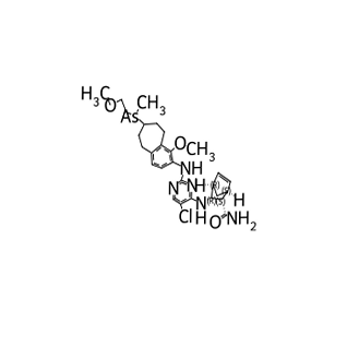 COCC[As](C)C1CCc2ccc(Nc3ncc(Cl)c(N[C@H]4[C@@H](C(N)=O)[C@@H]5C=C[C@H]4C5)n3)c(OC)c2CC1